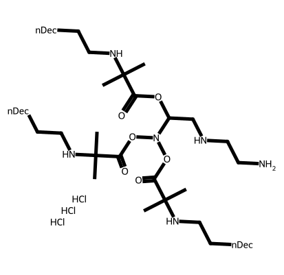 CCCCCCCCCCCCNC(C)(C)C(=O)OC(CNCCN)N(OC(=O)C(C)(C)NCCCCCCCCCCCC)OC(=O)C(C)(C)NCCCCCCCCCCCC.Cl.Cl.Cl